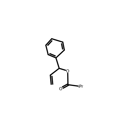 C=CC(OC(=O)C(C)C)c1ccccc1